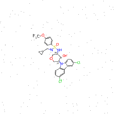 O=S(=NCC1CC1)(N[C@@H]1COC[C@H](n2c3ccc(Cl)cc3c3cc(Cl)ccc32)[C@H]1O)c1ccc(OC(F)(F)F)cc1